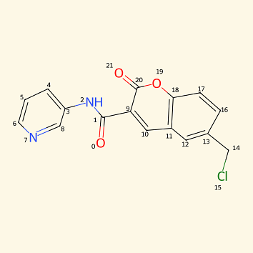 O=C(Nc1cccnc1)c1cc2cc(CCl)ccc2oc1=O